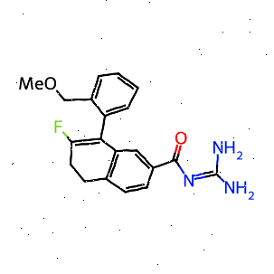 COCc1ccccc1C1=C(F)CCc2ccc(C(=O)N=C(N)N)cc21